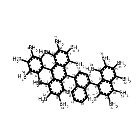 Bc1c(B)c(B)c(-c2c3c(B)c(B)c(B)c(B)c3c(-c3ccc(-c4c(B)c(B)c(B)c5c(B)c(B)c(B)c(B)c45)c4ccccc34)c3c(B)c(B)c(B)c(B)c23)c(B)c1B